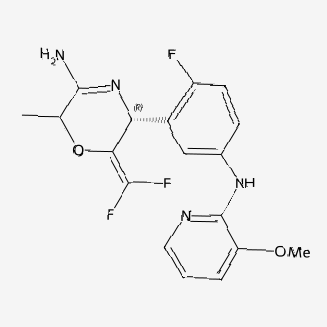 COc1cccnc1Nc1ccc(F)c([C@H]2N=C(N)C(C)OC2=C(F)F)c1